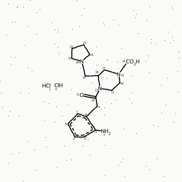 Cl.Cl.Nc1ccccc1CC(=O)N1CCN(C(=O)O)CC1CN1CCCC1